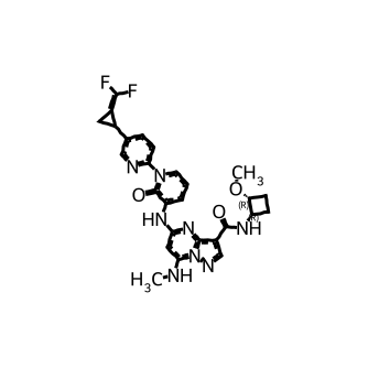 CNc1cc(Nc2cccn(-c3ccc(C4CC4=C(F)F)cn3)c2=O)nc2c(C(=O)N[C@@H]3CC[C@H]3OC)cnn12